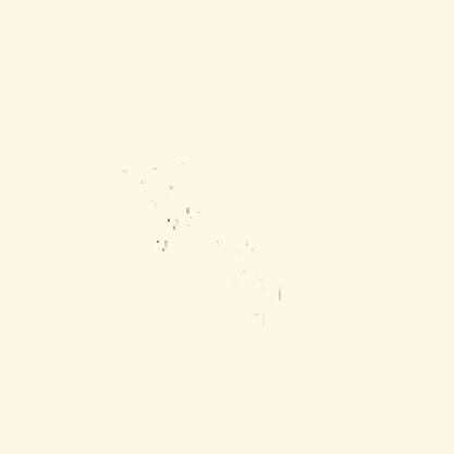 O=C(c1ccc(Cl)c(F)c1)N1CCC2(CC1)CN1CC[C@@H](c3cc(F)cc(F)c3)N1C2=O